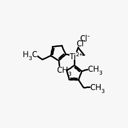 CCC1=CC[C]([Ti+2]2([C]3=C(C)C(CC)=CC3)[CH2][CH2]2)=C1C.[Cl-].[Cl-]